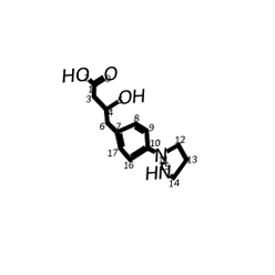 O=C(O)CC(O)Cc1ccc(N2CCCN2)cc1